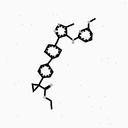 CCOC(=O)C1(c2ccc(-c3ccc(-c4onc(C)c4Nc4cccc(OC)n4)cc3)cc2)CC1